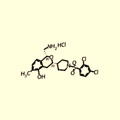 Cc1ccc2c(c1O)C[C@@H](C1CCN(S(=O)(=O)c3ccc(Cl)cc3Cl)CC1)O[C@H]2CN.Cl